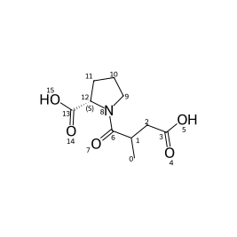 CC(CC(=O)O)C(=O)N1CCC[C@H]1C(=O)O